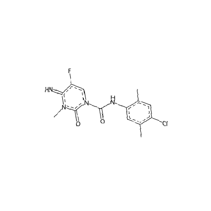 Cc1cc(NC(=O)n2cc(F)c(=N)n(C)c2=O)c(C)cc1Cl